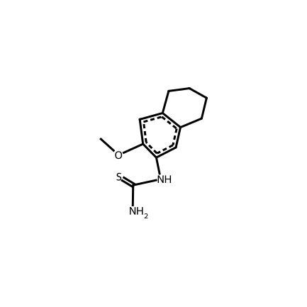 COc1cc2c(cc1NC(N)=S)CCCC2